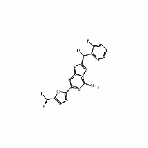 Nc1nc(-c2ccc(C(F)F)o2)nc2sc(C(O)c3ncccc3F)cc12